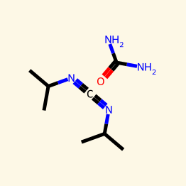 CC(C)N=C=NC(C)C.NC(N)=O